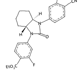 CCOC(=O)c1ccc(N2C(=O)N(c3ccc(C#N)c(C(F)(F)F)c3)[C@@H]3CCCC[C@H]32)cc1F